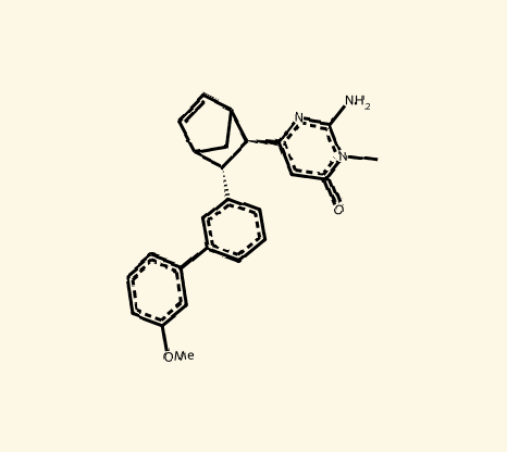 COc1cccc(-c2cccc([C@@H]3C4C=CC(C4)[C@H]3c3cc(=O)n(C)c(N)n3)c2)c1